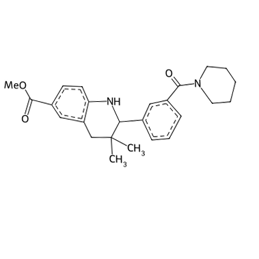 COC(=O)c1ccc2c(c1)CC(C)(C)C(c1cccc(C(=O)N3CCCCC3)c1)N2